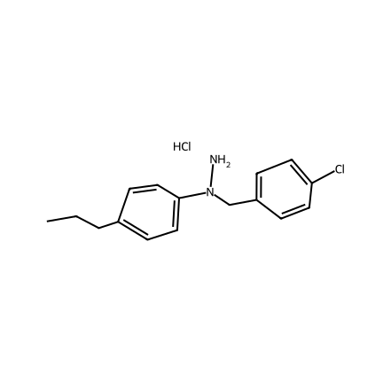 CCCc1ccc(N(N)Cc2ccc(Cl)cc2)cc1.Cl